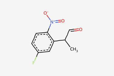 CC(C=O)c1cc(F)ccc1[N+](=O)[O-]